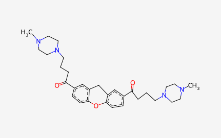 CN1CCN(CCCC(=O)c2ccc3c(c2)Cc2cc(C(=O)CCCN4CCN(C)CC4)ccc2O3)CC1